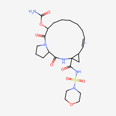 NC(=O)OC1CCCCC/C=C\C2CC2(C(=O)NS(=O)(=O)N2CCOCC2)NC(=O)C2CCCN2C1=O